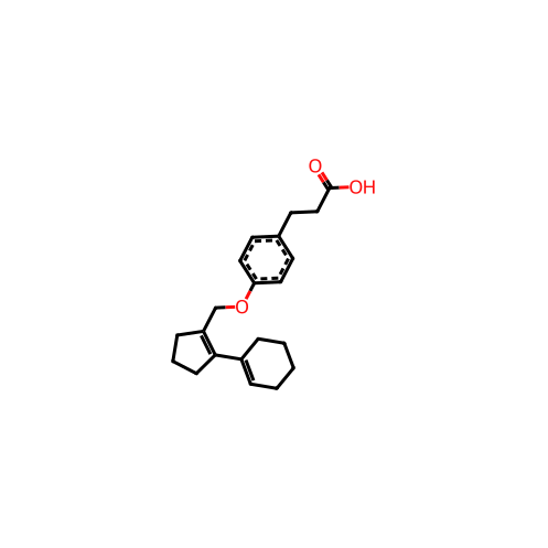 O=C(O)CCc1ccc(OCC2=C(C3=CCCCC3)CCC2)cc1